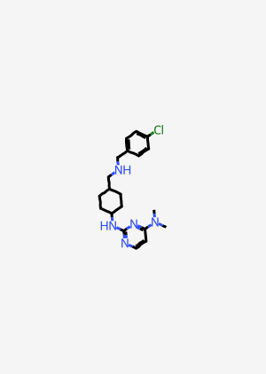 CN(C)c1ccnc(NC2CCC(CNCc3ccc(Cl)cc3)CC2)n1